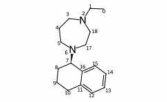 CCN1CCCN([C@@H]2CCCc3ccccc32)CC1